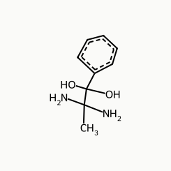 CC(N)(N)C(O)(O)c1ccccc1